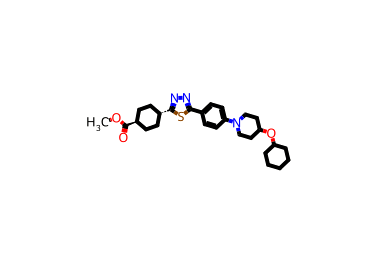 COC(=O)[C@H]1CC[C@H](c2nnc(-c3ccc(N4CCC(OC5CCCCC5)CC4)cc3)s2)CC1